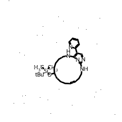 CC(C)(C)[Si](C)(C)OC1CCCC=CCCNc2ncc(-c3ccccn3)c(n2)NCCCC1